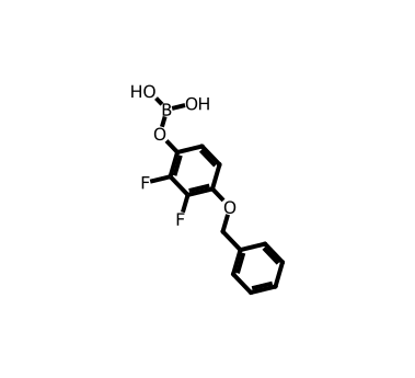 OB(O)Oc1ccc(OCc2ccccc2)c(F)c1F